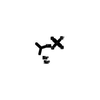 CC(C)O.O=S(=O)([O-])[O-].[Na+].[Na+]